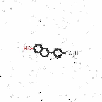 O=C(O)c1ccc(C2=Cc3ccc(O)cc3CC2)cc1